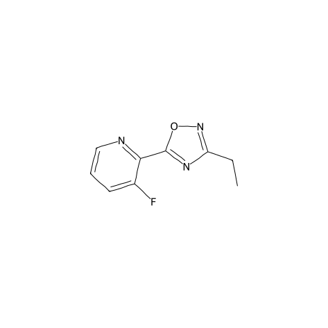 CCc1noc(-c2ncccc2F)n1